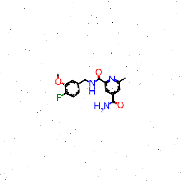 COc1cc(CNC(=O)c2cc(C(N)=O)cc(C)n2)ccc1F